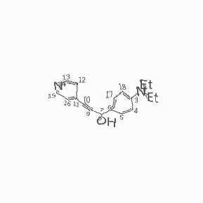 CCN(CC)c1ccc(C(O)C#Cc2ccncc2)cc1